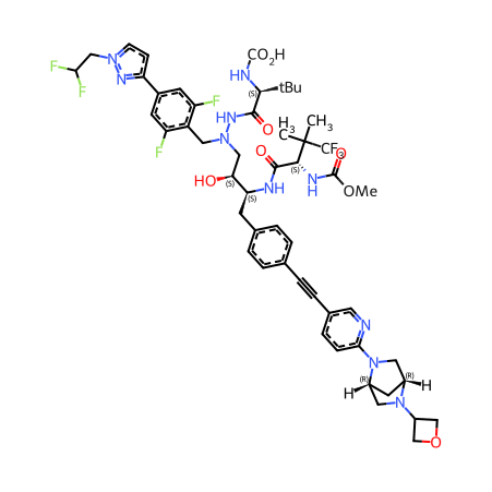 COC(=O)N[C@H](C(=O)N[C@@H](Cc1ccc(C#Cc2ccc(N3C[C@H]4C[C@@H]3CN4C3COC3)nc2)cc1)[C@@H](O)CN(Cc1c(F)cc(-c2ccn(CC(F)F)n2)cc1F)NC(=O)[C@@H](NC(=O)O)C(C)(C)C)C(C)(C)C(F)(F)F